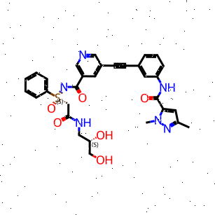 Cc1cc(C(=O)Nc2cccc(C#Cc3cncc(C(=O)N=[S@](=O)(CC(=O)NC[C@H](O)CO)c4ccccc4)c3)c2)n(C)n1